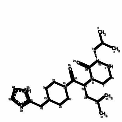 CC(C)C[C@@H]1NCCN([C@@H](CC(C)C)C(=O)N2CCC(Cc3ncc[nH]3)CC2)C1=O